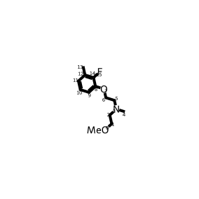 COCCN(C)CCOc1cccc(C)c1F